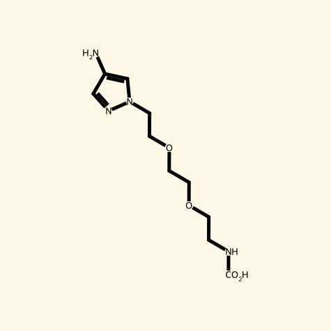 Nc1cnn(CCOCCOCCNC(=O)O)c1